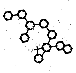 CC1(C)c2ccccc2-c2cc(-c3ccc4ccccc4c3)c(-c3cccc(-c4cccc(-c5cc(-c6cccc(-c7ccccc7)c6)cc(-c6ccccc6)n5)c4)c3)cc21